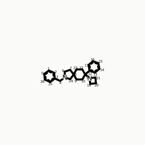 c1ccc(CN2CCC3(CCC(c4ccccc4)(N4CCC4)CC3)C2)cc1